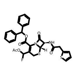 CC(=O)OC(F)C1=C(C(=O)OC(c2ccccc2)c2ccccc2)N2C(=O)[C@@H](NC(=O)Cc3cccs3)[C@@H]2SC1